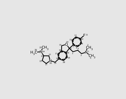 CN(C)CCCC1(c2ccc(F)cc2)OCc2cc(CN3CCC(N(C)C)C3)ccc21